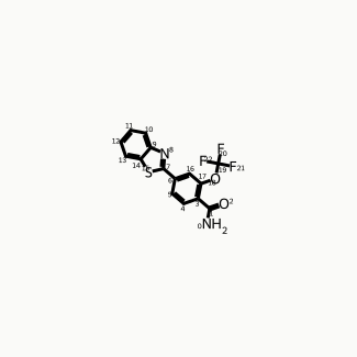 NC(=O)c1ccc(-c2nc3ccccc3s2)cc1OC(F)(F)F